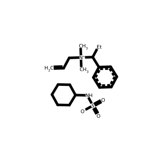 C=CC[N+](C)(C)C(CC)c1ccccc1.O=S(=O)([O-])NC1CCCCC1